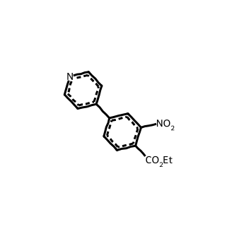 CCOC(=O)c1ccc(-c2ccncc2)cc1[N+](=O)[O-]